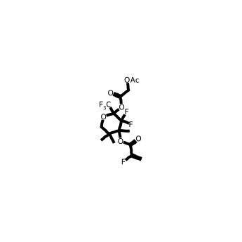 C=C(F)C(=O)OC1(C)C(C)(C)COC(OC(=O)COC(C)=O)(C(F)(F)F)C1(F)F